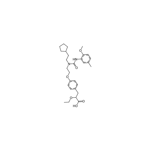 CCOC(Cc1ccc(OCCN(CCC2CCCC2)C(=O)Nc2cc(C)ccc2OC)cc1)C(=O)O